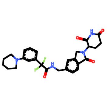 O=C1CCC(N2Cc3cc(CNC(=O)C(F)(F)c4cccc(N5CCCCC5)c4)ccc3C2=O)C(=O)N1